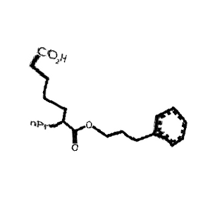 CCCC(CCCCC(=O)O)C(=O)OCCCc1ccccc1